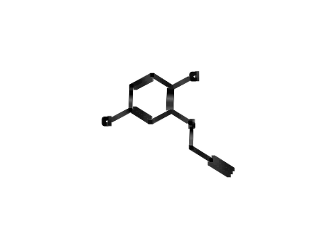 C#CCSc1cc(Cl)ccc1Cl